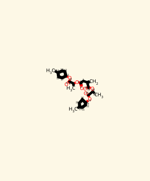 C=C(CC(=O)OC(C)C(=O)Oc1ccc(C)cc1)C(=O)OC(C)C(=O)Oc1ccc(C)cc1